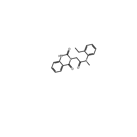 CCc1ccccc1N(C)C(=O)Cn1c(=O)[nH]c2ccccc2c1=O